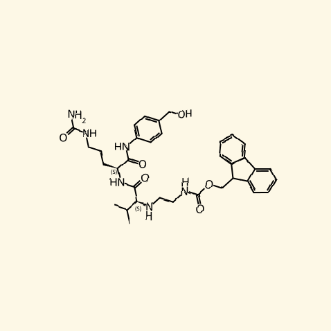 CC(C)[C@H](NCCNC(=O)OCC1c2ccccc2-c2ccccc21)C(=O)N[C@@H](CCCNC(N)=O)C(=O)Nc1ccc(CO)cc1